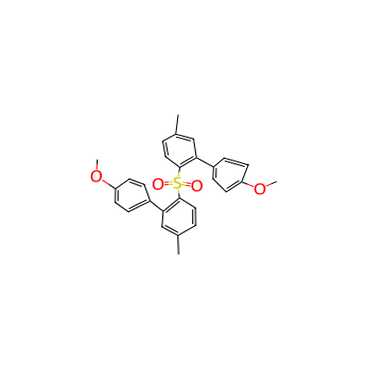 COc1ccc(-c2cc(C)ccc2S(=O)(=O)c2ccc(C)cc2-c2ccc(OC)cc2)cc1